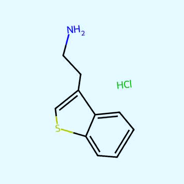 Cl.NCCc1csc2ccccc12